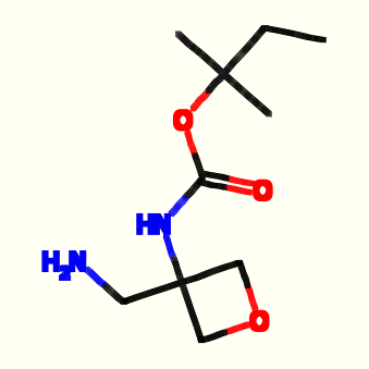 CCC(C)(C)OC(=O)NC1(CN)COC1